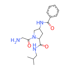 CC(C)CNC(=O)C1CC(NC(=O)c2ccccc2)CN1C(=O)CN